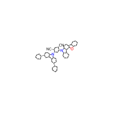 N#Cc1cc(C#N)c(-n2c3ccccc3c3c4oc5ccccc5c4ccc32)cc1-n1c2ccc(-c3ccccc3)cc2c2cc(-c3ccccc3)ccc21